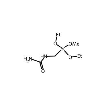 CCO[Si](CNC(N)=O)(OC)OCC